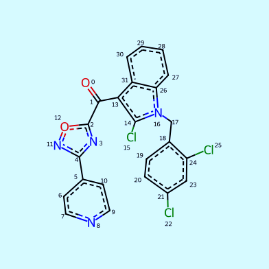 O=C(c1nc(-c2ccncc2)no1)c1c(Cl)n(Cc2ccc(Cl)cc2Cl)c2ccccc12